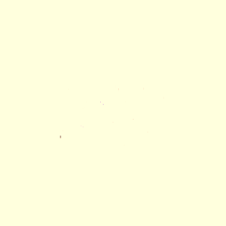 CC(C)N1C[C@@H](C2(C)C=CC=CC2)N(C)C1=O